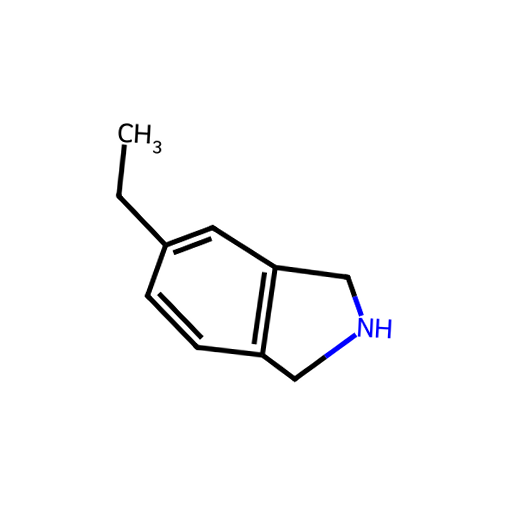 CCc1ccc2c(c1)CNC2